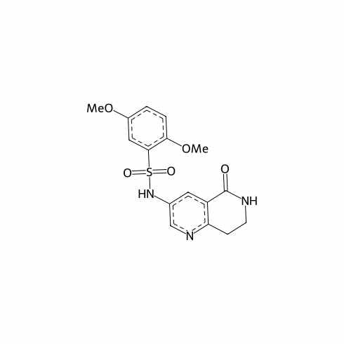 COc1ccc(OC)c(S(=O)(=O)Nc2cnc3c(c2)C(=O)NCC3)c1